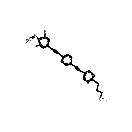 CCCCc1ccc(C#Cc2ccc(C#Cc3cc(F)c(N=C=S)c(F)c3)cc2)cc1